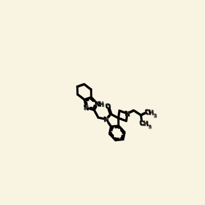 CC(C)CN1CC2(C1)C(=O)N(Cc1nc3c([nH]1)CCCC3)c1ccccc12